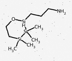 C[Si]1(C)CCO[SiH](CCCN)[Si]1(C)C